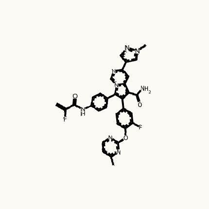 C=C(F)C(=O)Nc1ccc(-c2c(-c3ccc(Oc4nccc(C)n4)c(F)c3)c(C(N)=O)c3cc(-c4cnn(C)c4)ncn23)cc1